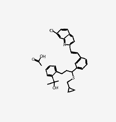 CC(=O)O.CC(C)(O)c1ccccc1CCC(SCC1CC1)c1cccc(/C=C/c2ccc3ccc(Cl)cc3n2)c1